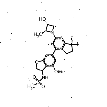 COc1cc(-c2nc(N3C[C@@H](O)[C@@H]3C)nc3c2CCC3(F)F)cc2c1C(NS(C)(=O)=O)CO2